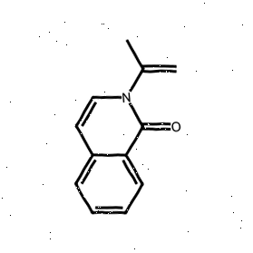 C=C(C)n1ccc2ccccc2c1=O